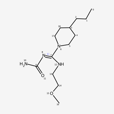 CCCC1CCN(/C(=N/C(N)=O)NCCOC)CC1